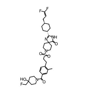 Cc1cc(C(=O)N2CCC(O)(CF)CC2)ccc1CCS(=O)(=O)N1CCC2(CC1)N=C([C@H]1CC[C@H](CC=C(F)F)CC1)NC2=O